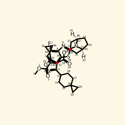 COC(=O)c1cc(F)c2nc(N3[C@@H]4CC[C@H]3C[C@H](OC(=O)c3c(C5CCC6(CC5)CC6)noc3C3CC3)C4)sc2c1